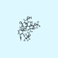 C#Cc1ccc(CNC(=O)[C@@H]2C[C@@H](O)CN2C(=O)C(NC(=O)OC(C)(C)C)C(C)(C)CCO[Si](C)(C)C(C)(C)C)c(Cl)c1